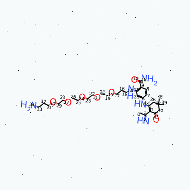 CC(=N)C1=C(Nc2ccc(C(N)=O)c(NCCCOCCOCCOCCOCCOCCCN)c2)CC(C)(C)CC1=O